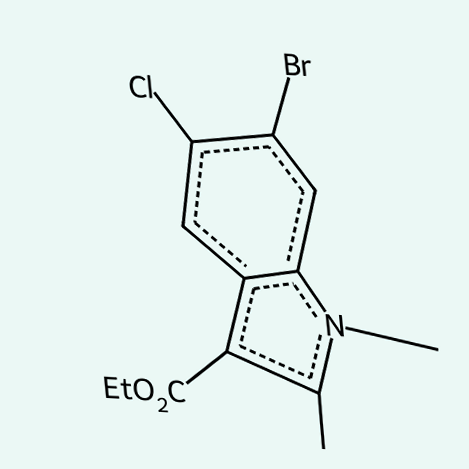 CCOC(=O)c1c(C)n(C)c2cc(Br)c(Cl)cc12